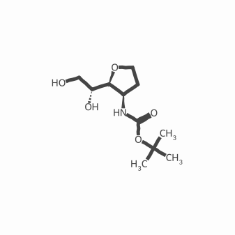 CC(C)(C)OC(=O)N[C@@H]1CCO[C@@H]1[C@H](O)CO